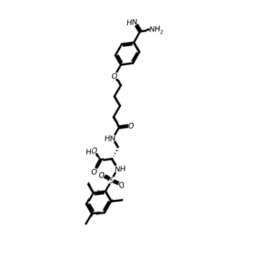 Cc1cc(C)c(S(=O)(=O)N[C@@H](CNC(=O)CCCCOc2ccc(C(=N)N)cc2)C(=O)O)c(C)c1